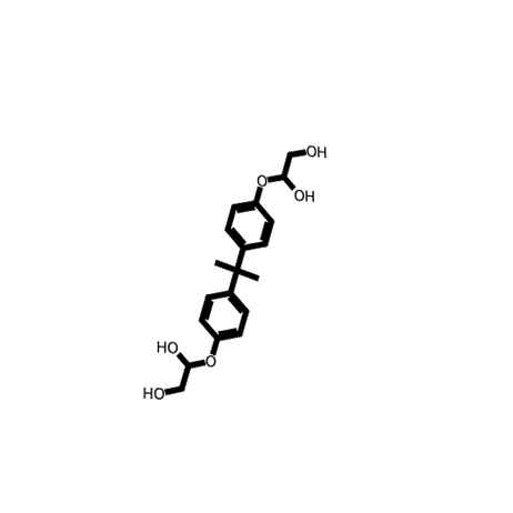 CC(C)(c1ccc(OC(O)CO)cc1)c1ccc(OC(O)CO)cc1